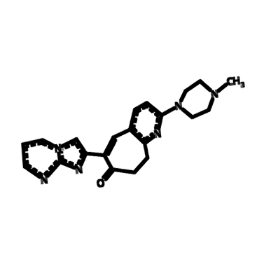 CN1CCN(c2ccc3c(n2)CCC(=O)C(c2cn4cccnc4n2)=C3)CC1